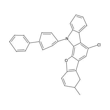 CC1C=Cc2oc3c(cc(Cl)c4c5ccccc5n(-c5ccc(-c6ccccc6)cc5)c34)c2C1